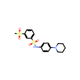 CS(=O)(=O)c1cccc(S(=O)(=O)Nc2ccc(N3CCCCC3)cc2)c1